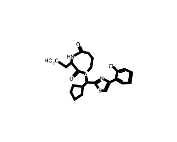 O=C(O)CC1NC(=O)CCCN(C(c2nc(-c3ccccc3Cl)cs2)C2CCCC2)C1=O